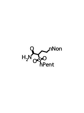 CCCCCCCCCCCC(C(N)=O)S(=O)(=O)CCCCC